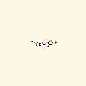 CCS(=O)(=O)c1c(-c2nc3cc(C(F)(F)C(F)F)cnc3n2C)ncc2cc(C3(C#N)CC3)ccc12